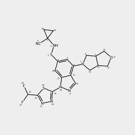 N#CC1(NSc2cc(N3CC4COCC4C3)c3cnn(-c4nnc(C(F)F)s4)c3c2)CC1